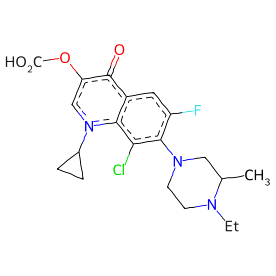 CCN1CCN(c2c(F)cc3c(=O)c(OC(=O)O)cn(C4CC4)c3c2Cl)CC1C